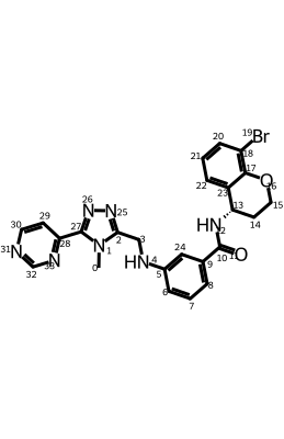 Cn1c(CNc2cccc(C(=O)N[C@H]3CCOc4c(Br)cccc43)c2)nnc1-c1ccncn1